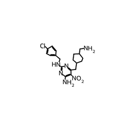 NCC1CCC(Cc2nc(NCc3ccc(Cl)cc3)nc(N)c2[N+](=O)[O-])CC1